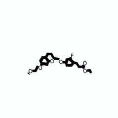 CCOC(=O)CCc1ccc(OCC2CCc3ccc(OCCOC)cc3O2)cc1F